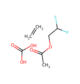 C=C.CC(=O)OCC(F)F.O=C(O)O